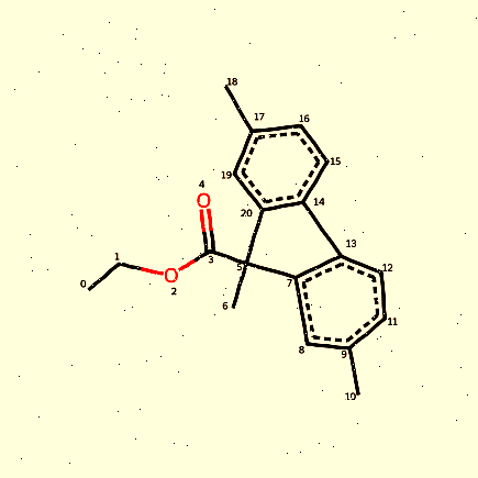 CCOC(=O)C1(C)c2cc(C)ccc2-c2ccc(C)cc21